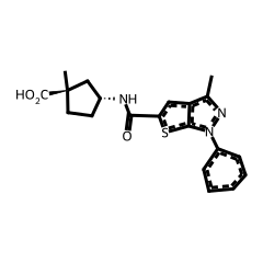 Cc1nn(-c2ccccc2)c2sc(C(=O)N[C@@H]3CC[C@@](C)(C(=O)O)C3)cc12